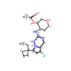 CCC1(c2cc(F)c3cnc(NC4CCOCC4OC(C)=O)nn23)CCC1